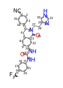 N#Cc1ccc(C2Cc3ccc(NC(=O)Nc4ccc(C(F)(F)F)cc4)cc3C(=O)N2CCc2c[nH]cn2)cc1